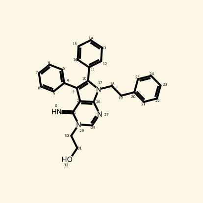 N=c1c2c(-c3ccccc3)c(-c3ccccc3)n(CCc3ccccc3)c2ncn1CCO